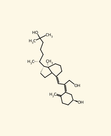 C=C1CC[C@H](O)C/C1=C(/C=C1CCC[C@@]2(C)C1CC[C@@H]2[C@H](C)CCCC(C)(C)O)CO